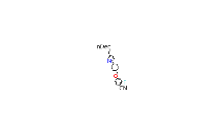 CCCCCCCCCCCCc1ccc(C2CCC(COc3ccc(C#N)c(F)c3)CC2)nc1